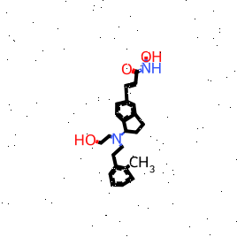 Cc1ccccc1CCN(CCO)[C@@H]1CCc2cc(C=CC(=O)NO)ccc21